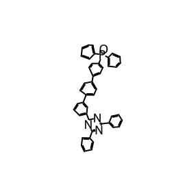 O=P(c1ccccc1)(c1ccccc1)c1ccc(-c2ccc(-c3cccc(-c4nc(-c5ccccc5)nc(-c5ccccc5)n4)c3)cc2)cc1